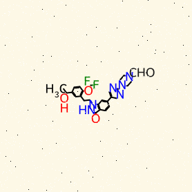 CC(O)c1ccc(OC(F)F)c(CCn2[nH]c(=O)c3ccc(-c4cnc(N5CCN(C=O)CC5)nc4)cc32)c1